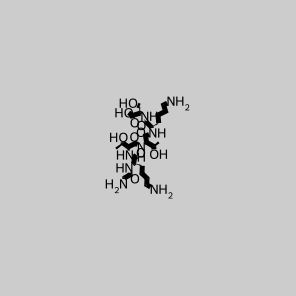 C[C@@H](O)[C@H](NC(=O)[C@H](CCCCN)NC(=O)CN)C(=O)N[C@H](C(=O)N[C@@H](CCCCN)C(=O)N[C@@H](CO)C(=O)O)[C@@H](C)O